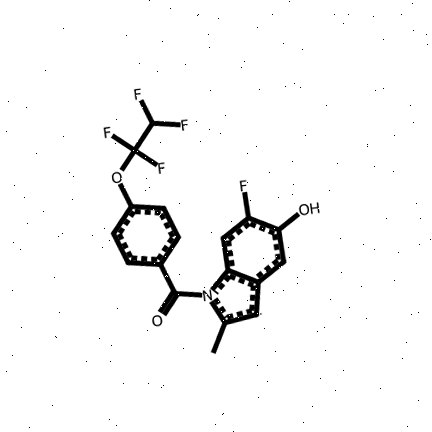 Cc1[c]c2cc(O)c(F)cc2n1C(=O)c1ccc(OC(F)(F)C(F)F)cc1